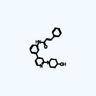 O=C(C=Cc1ccccc1)Nc1cccc(-c2ccnc(N3CCC(O)CC3)c2)c1